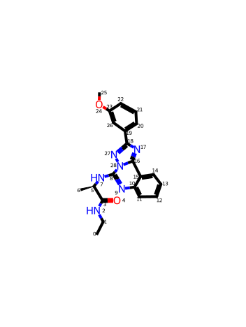 CCNC(=O)[C@@H](C)Nc1nc2ccccc2c2nc(-c3cccc(OC)c3)nn12